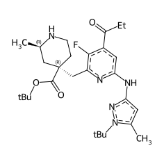 CCC(=O)c1cc(Nc2cc(C)n(C(C)(C)C)n2)nc(C[C@@]2(C(=O)OC(C)(C)C)CCN[C@H](C)C2)c1F